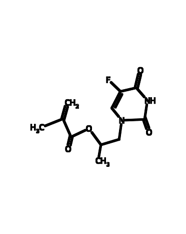 C=C(C)C(=O)OC(C)Cn1cc(F)c(=O)[nH]c1=O